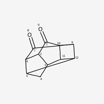 O=C1C2C3CC4C2C(=O)C2C1C3C42